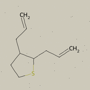 C=CCC1CCSC1CC=C